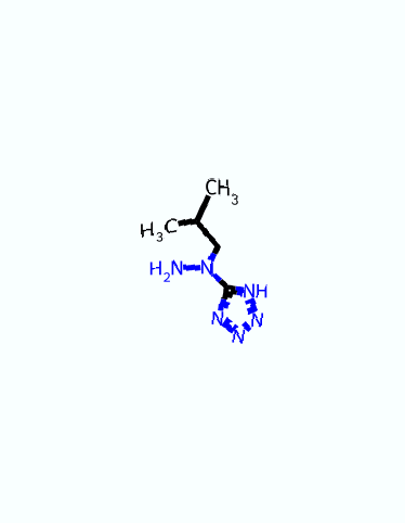 CC(C)CN(N)c1nnn[nH]1